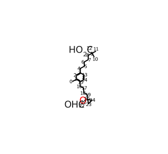 Cc1cc(CCCCCC(C)(C)C(=O)O)ccc1CCCCC1(OC=O)CC1